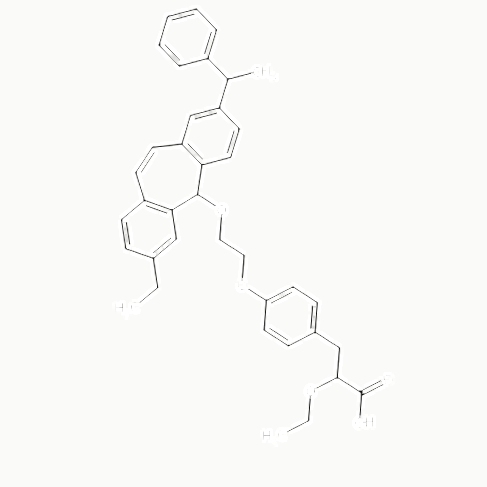 CCOC(Cc1ccc(OCCOC2c3ccc(C(C)c4ccccc4)cc3C=Cc3ccc(CC)cc32)cc1)C(=O)O